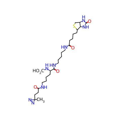 CC1(CCC(=O)NCCCCC(NC(=O)O)C(=O)NCCCCCNC(=O)CCCCC2SCC3NC(=O)NC32)N=N1